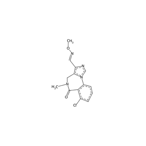 CON=Cc1ncn2c1CN(C)C(=O)c1c(Cl)cccc1-2